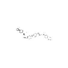 C=C[Si](C)(C=C)c1ccc(C(=O)OOC(=O)OC2CCC(C(C)(C)C3CCC(OC(=O)OOC(=O)c4ccc([Si](C)(C=C)C=C)cc4)CC3)CC2)cc1